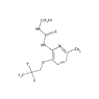 CCOC(=O)NC(=S)Nc1nc(C)ccc1OCC(F)(F)C(F)(F)F